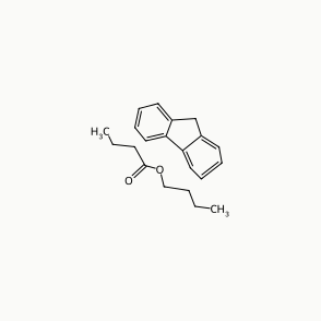 CCCCOC(=O)CCC.c1ccc2c(c1)Cc1ccccc1-2